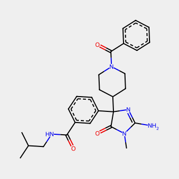 CC(C)CNC(=O)c1cccc(C2(C3CCN(C(=O)c4ccccc4)CC3)N=C(N)N(C)C2=O)c1